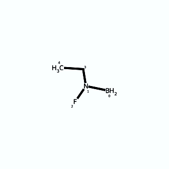 BN(F)CC